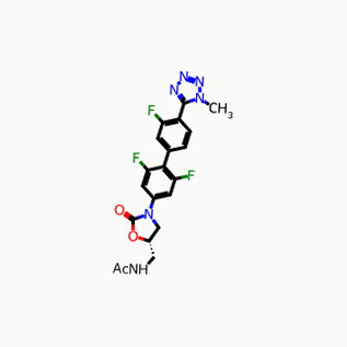 CC(=O)NC[C@H]1CN(c2cc(F)c(-c3ccc(-c4nnnn4C)c(F)c3)c(F)c2)C(=O)O1